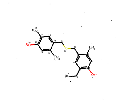 Cc1cc(O)c(CC(C)C)cc1CSCc1cc(C(C)(C)C)c(O)cc1C